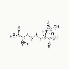 NC(CSSC[C@H](NS(=O)(=O)O)C(=O)O)C(=O)O